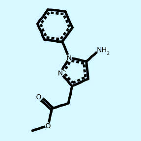 COC(=O)Cc1cc(N)n(-c2ccccc2)n1